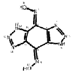 O/N=C1/c2nn[nH]c2/C(=N/O)c2nn[nH]c21